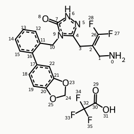 NCC(Cc1n[nH]c(=O)n1Cc1ccccc1-c1ccc2c(c1)OCO2)=C(F)F.O=C(O)C(F)(F)F